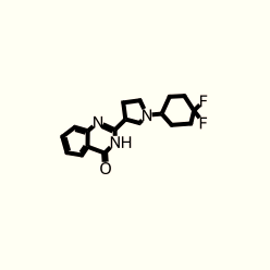 O=c1[nH]c(C2CCN(C3CCC(F)(F)CC3)C2)nc2ccccc12